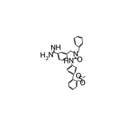 CS(=O)(=O)c1ccccc1-c1ccc(NC(=O)N(Cc2ccccc2)Cc2cccc(C(=N)N)c2)cc1